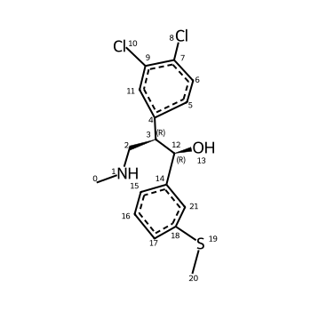 CNC[C@@H](c1ccc(Cl)c(Cl)c1)[C@@H](O)c1cccc(SC)c1